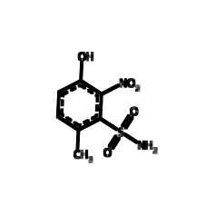 Cc1ccc(O)c([N+](=O)[O-])c1S(N)(=O)=O